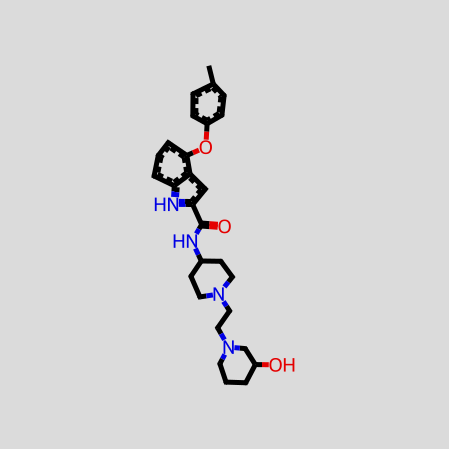 Cc1ccc(Oc2cccc3[nH]c(C(=O)NC4CCN(CCN5CCCC(O)C5)CC4)cc23)cc1